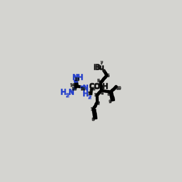 C=CCCC(CCC(C)CC)C(=C)C.CC(=O)O.N=C(N)N